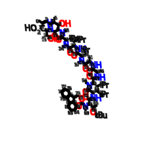 CC=CC[C@@H](C)[C@@H](O)[C@@H](C(=O)N[C@H](C(=O)O)[C@@H](C)O)N(C)C(=O)[C@H](C(C)C)N(C)C(=O)[C@H](CC(C)C)NC(=O)[C@H](CC(C)C)N(C)C(=O)[C@@H](C)NC(=O)[C@H](C)NC(=O)[C@H](CC(C)C)N(C)C(=O)[C@H](CC(C)C)NC(=O)[C@H](C(C)OC(C)(C)C)N(C)C(=O)OCC1c2ccccc2-c2ccccc21